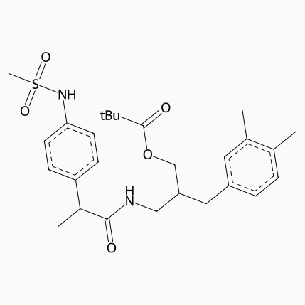 Cc1ccc(CC(CNC(=O)C(C)c2ccc(NS(C)(=O)=O)cc2)COC(=O)C(C)(C)C)cc1C